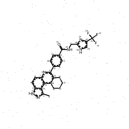 Cc1n[nH]c2ccc3nc(-c4ccc(C(=O)NCc5nc(C(F)(F)F)c[nH]5)cc4)c4c(c3c12)CCCC4